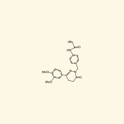 CCCCC(=O)Nc1ccc(CN2N=C(c3ccc(OC)c(OC)c3)CCC2=O)cc1